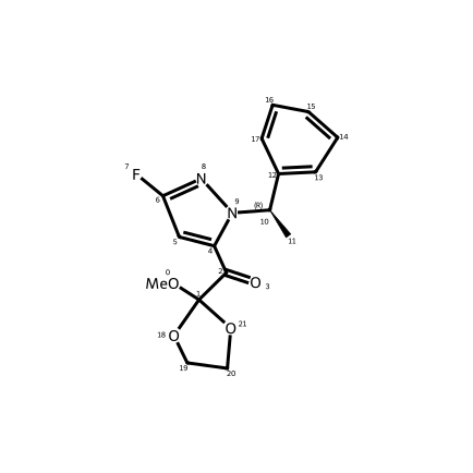 COC1(C(=O)c2cc(F)nn2[C@H](C)c2ccccc2)OCCO1